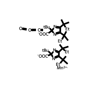 C=O.C=O.C=O.CCC(C)(C)C1=NC(C(=O)[O-])(C(C)(C)C)N=C1C(C)(C)CC.CCC(C)(C)C1=NC(C(=O)[O-])(C(C)(C)C)N=C1C(C)(C)CC.[Mn+2]